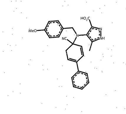 COc1ccc(CN(c2c(C(=O)O)n[nH]c2C)C2(C#N)C=CC(c3ccccc3)=CC2)cc1